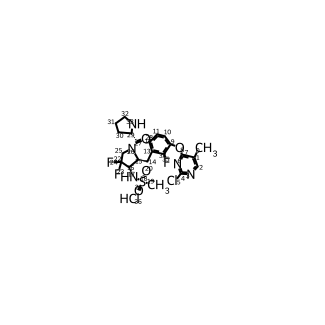 Cc1cnc(Cl)nc1Oc1cccc(C[C@H]2[C@@H](NS(C)(=O)=O)C(F)(F)CN2C(=O)[C@@H]2CCCN2)c1F.Cl